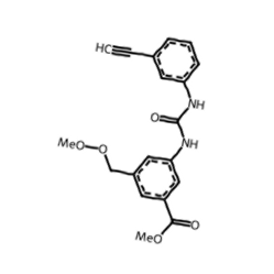 C#Cc1cccc(NC(=O)Nc2cc(COOC)cc(C(=O)OC)c2)c1